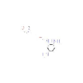 C[N+]1(CCOCCNc2cc(N)ccc2N)CCOCC1